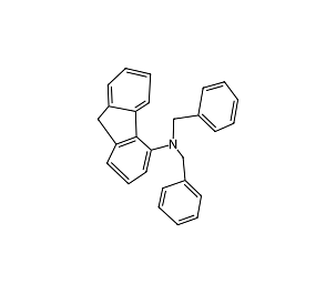 c1ccc(CN(Cc2ccccc2)c2cccc3c2-c2ccccc2C3)cc1